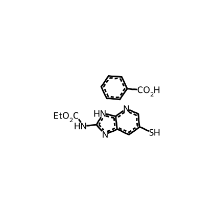 CCOC(=O)Nc1nc2cc(S)cnc2[nH]1.O=C(O)c1ccccc1